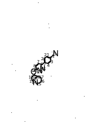 N#Cc1ccc(-c2ccc(OC3CCN4CCCC3C4)nn2)cc1